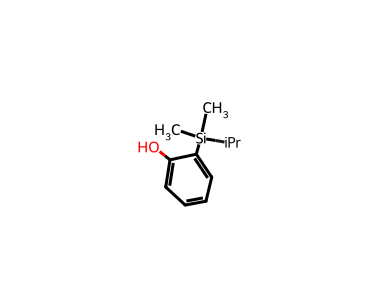 CC(C)[Si](C)(C)c1ccccc1O